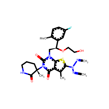 C=NN(N=C)c1sc2c(c1C)c(=O)n([C@@]1(C)CCCNC1=O)c(=O)n2C[C@H](OCCO)c1cc(F)ccc1OC